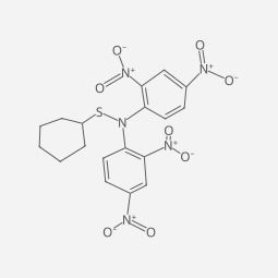 O=[N+]([O-])c1ccc(N(SC2CCCCC2)c2ccc([N+](=O)[O-])cc2[N+](=O)[O-])c([N+](=O)[O-])c1